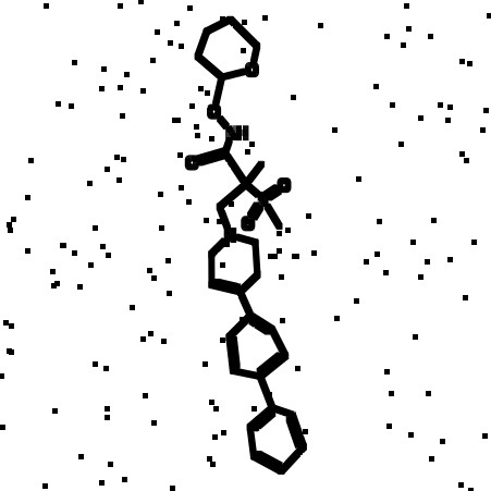 CC(CN1CC=C(c2ccc(-c3ccccc3)cc2)CC1)(C(=O)NOC1CCCCO1)S(C)(=O)=O